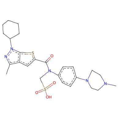 Cc1nn(C2CCCCC2)c2sc(C(=O)N(CS(=O)(=O)O)c3ccc(N4CCN(C)CC4)cc3)cc12